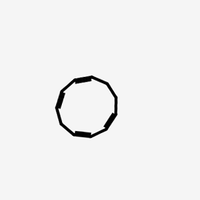 C1=C\C/C=C\C=C/CC\C=C/1